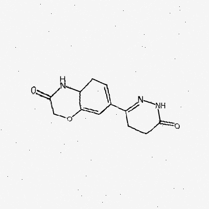 O=C1CCC(C2=CCC3NC(=O)COC3=C2)=NN1